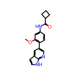 COc1cc(NC(=O)C2CCC2)ccc1-c1cnc2[nH]ccc2c1